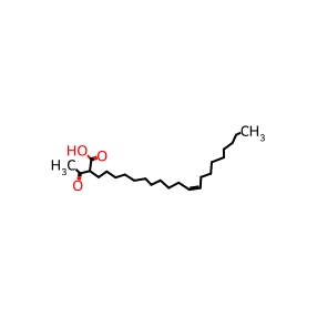 CCCCCCCC/C=C\CCCCCCCCCCC(C(C)=O)C(=O)O